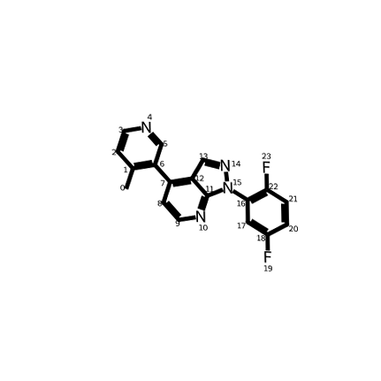 Cc1ccncc1-c1ccnc2c1cnn2-c1cc(F)ccc1F